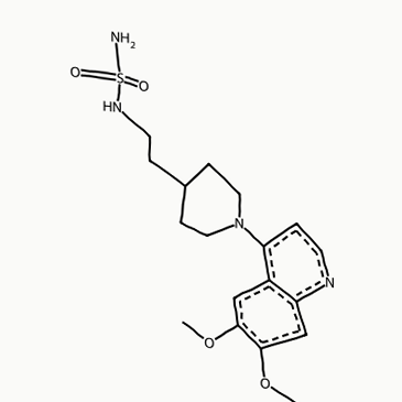 COc1cc2nccc(N3CCC(CCNS(N)(=O)=O)CC3)c2cc1OC